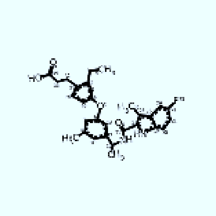 CCc1cc(Oc2cc(C)cc(C(C)NC(=O)c3[nH]c4ccc(F)cc4c3C)c2)ccc1CCC(=O)O